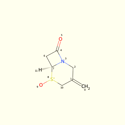 C=C1CN2C(=O)C[C@@H]2[S+]([O-])C1